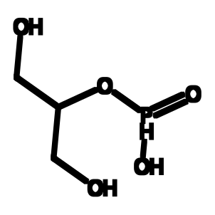 O=[PH](O)OC(CO)CO